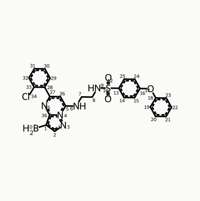 Bc1cnn2c(NCCNS(=O)(=O)c3ccc(Oc4ccccc4)cc3)cc(-c3ccccc3Cl)nc12